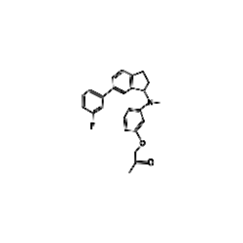 CC(=O)COc1cccc(N(C)C2CCc3ccc(-c4cccc(F)c4)cc32)c1